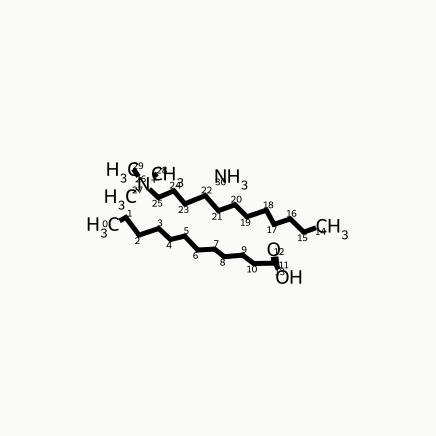 CCCCCCCCCCCC(=O)O.CCCCCCCCCCCC[N+](C)(C)C.N